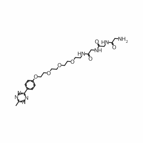 Cc1nnc(-c2ccc(OCCOCCOCCOCCNC(=O)CNC(=O)CNC(=O)CN)cc2)nn1